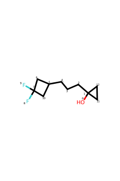 OC1(CC[CH]C2CC(F)(F)C2)CC1